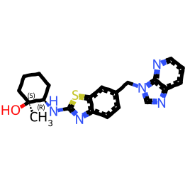 C[C@]1(O)CCCC[C@H]1Nc1nc2ccc(Cn3cnc4cccnc43)cc2s1